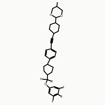 CC1COC(C2CCC(C#Cc3ccc(C4CCC(C(F)(F)Oc5cc(F)c(F)c(F)c5)CC4)cc3)CC2)OC1